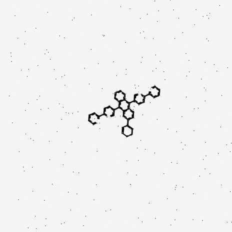 C1=CC(c2ccc3c(-c4ccc(-c5ccccn5)nc4)c4ccccc4c(-c4ccc(-c5ccccn5)nc4)c3c2)=CCC1